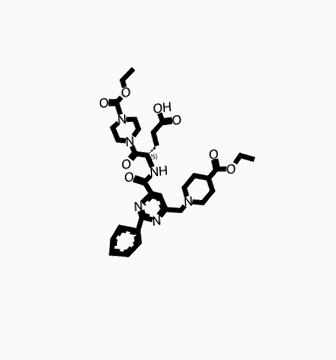 CCOC(=O)C1CCN(Cc2cc(C(=O)N[C@@H](CCC(=O)O)C(=O)N3CCN(C(=O)OCC)CC3)nc(-c3ccccc3)n2)CC1